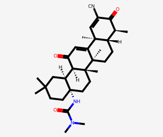 [C-]#[N+]C1=C[C@]2(C)C3=CC(=O)[C@@H]4[C@@H]5CC(C)(C)CC[C@]5(NC(=O)N(C)C)CC[C@@]4(C)[C@]3(C)CC[C@H]2[C@H](C)C1=O